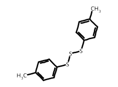 Cc1ccc(SSSc2ccc(C)cc2)cc1